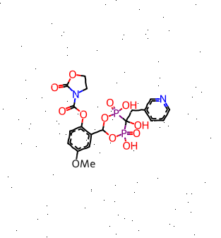 COc1ccc(OC(=O)N2CCOC2=O)c(C2OP(=O)(O)C(O)(Cc3cccnc3)P(=O)(O)O2)c1